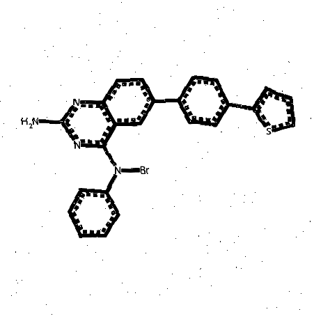 Nc1nc(N(Br)c2ccccc2)c2cc(-c3ccc(-c4cccs4)cc3)ccc2n1